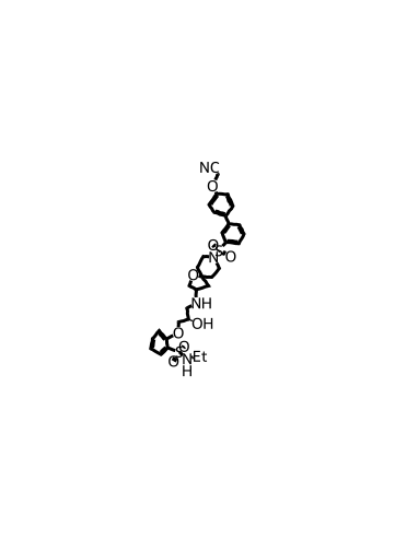 CCNS(=O)(=O)c1ccccc1OC[C@@H](O)CNC1COC2(CCN(S(=O)(=O)c3cccc(-c4ccc(OCC#N)cc4)c3)CC2)C1